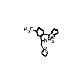 Cc1ccc(-c2noc3ccccc23)c(C(N)Cc2ccccn2)c1